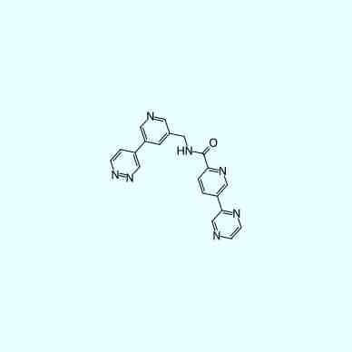 O=C(NCc1cncc(-c2ccnnc2)c1)c1ccc(-c2cnccn2)cn1